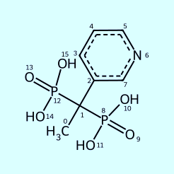 CC(c1cccnc1)(P(=O)(O)O)P(=O)(O)O